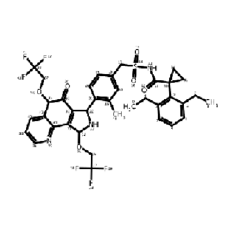 CCc1cccc(CC)c1C1(C(=O)NS(=O)(=O)Cc2ccc(C3NC(OCC(F)(F)F)C4=C3C(=O)C(OCC(F)(F)F)c3cccnc34)c(C)c2)CC1